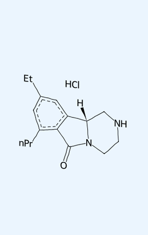 CCCc1cc(CC)cc2c1C(=O)N1CCNC[C@@H]21.Cl